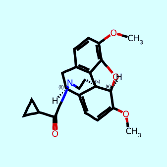 COC1=CC=C2[C@H]3Cc4ccc(OC)c5c4[C@@]2(CCN3C(=O)C2CC2)[C@H]1O5